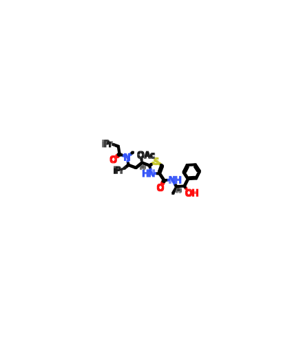 CC(=O)O[C@H](CC(C(C)C)N(C)C(=O)CC(C)C)C1NC(C(=O)N[C@H](C)C(O)c2ccccc2)=CS1